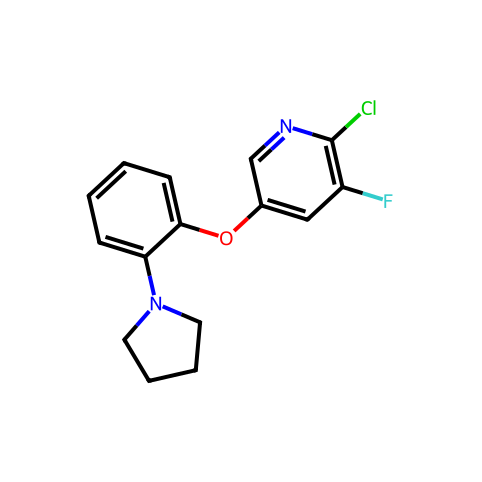 Fc1cc(Oc2ccccc2N2CCCC2)cnc1Cl